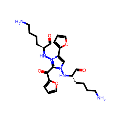 NCCCC[C@@H](C=O)Nn1cc(-c2ccco2)[n+](N[C@H](C=O)CCCCN)c1C(=O)c1ccco1